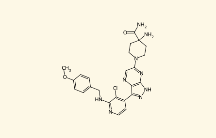 COc1ccc(CNc2nccc(-c3n[nH]c4nc(N5CCC(N)(C(N)=O)CC5)cnc34)c2Cl)cc1